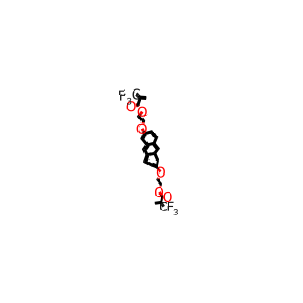 C=C(C(=O)OCCOc1ccc2cc3cc(OCCOC(=O)C(=C)C(F)(F)F)ccc3cc2c1)C(F)(F)F